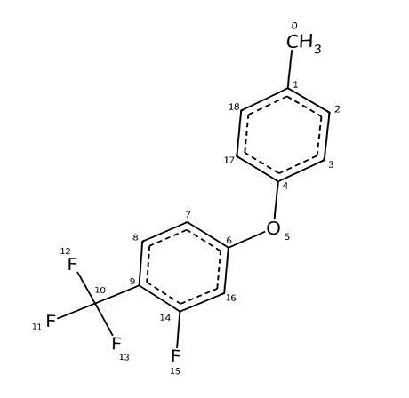 Cc1ccc(Oc2ccc(C(F)(F)F)c(F)c2)cc1